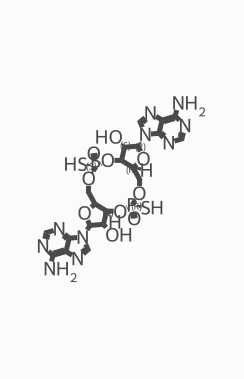 Nc1ncnc2c1ncn2C1OC2CO[P@](=O)(S)OC3[C@@H](CO[P@@](=O)(S)O[C@@H]2C1O)O[C@@H](n1cnc2c(N)ncnc21)[C@H]3O